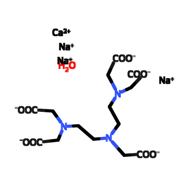 O.O=C([O-])CN(CCN(CC(=O)[O-])CC(=O)[O-])CCN(CC(=O)[O-])CC(=O)[O-].[Ca+2].[Na+].[Na+].[Na+]